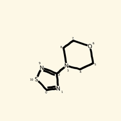 c1nc(N2CCOCC2)ns1